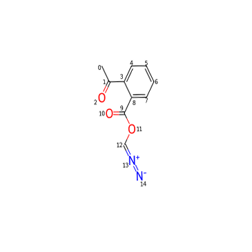 CC(=O)c1ccccc1C(=O)OC=[N+]=[N-]